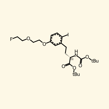 CC(C)(C)OC(=O)N[C@@H](CCc1cc(OCCOCCF)ccc1I)C(=O)OC(C)(C)C